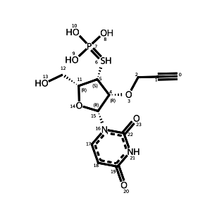 C#CCO[C@H]1[C@@H]([SH]=P(O)(O)O)[C@@H](CO)O[C@H]1n1ccc(=O)[nH]c1=O